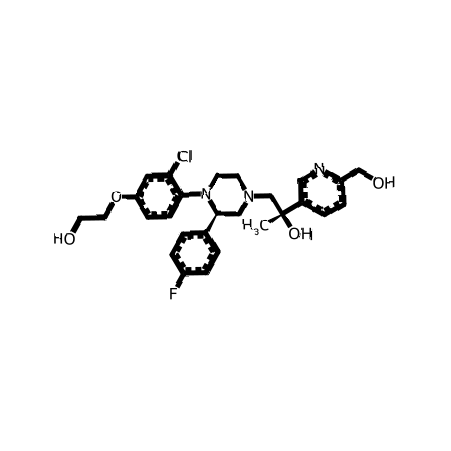 C[C@@](O)(CN1CCN(c2ccc(OCCO)cc2Cl)[C@H](c2ccc(F)cc2)C1)c1ccc(CO)nc1